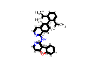 CC(C)c1cccc(C(C)C)c1-c1ccc2c(Nc3nccc4oc5ccccc5c34)nccc2c1